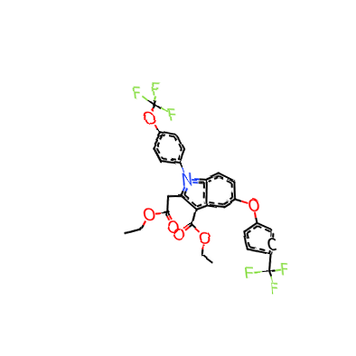 CCOC(=O)Cc1c(C(=O)OCC)c2cc(Oc3ccc(C(F)(F)F)cc3)ccc2n1-c1ccc(OC(F)(F)F)cc1